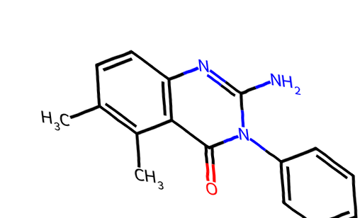 Cc1ccc2nc(N)n(-c3ccccc3)c(=O)c2c1C